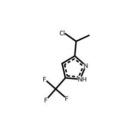 CC(Cl)c1cc(C(F)(F)F)[nH]n1